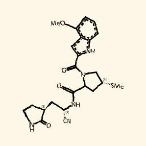 COc1cccc2[nH]c(C(=O)N3C[C@H](SC)CC3C(=O)N[C@H](C#N)C[C@@H]3CCNC3=O)cc12